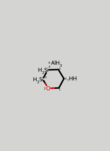 C1CO[SiH2][SiH2]C1.[AlH3].[HH]